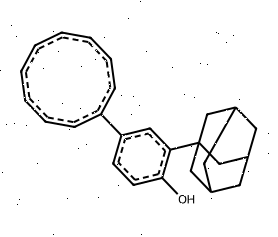 Oc1ccc(-c2ccccccccc2)cc1C12CC3CC(CC(C3)C1)C2